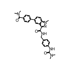 CN(C)C(=O)Nc1ccc(CNC(=O)c2nn(C)c3ccc(-c4ccc(C(=O)N(C)C)cc4)cc23)cc1